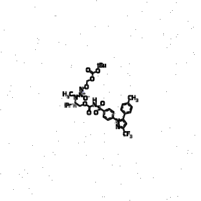 Cc1ccc(-c2cc(C(F)(F)F)nn2-c2ccc(S(=O)(=O)NC(=O)OC[C@H](C(C)C)N(C)/[N+]([O-])=N/OCOC(=O)OC(C)(C)C)cc2)cc1